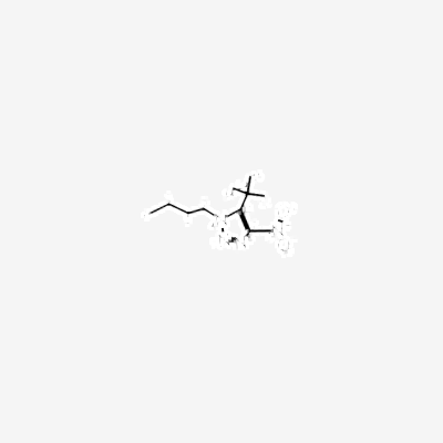 CCCCn1nnc([N+](=O)[O-])c1C(C)(C)C